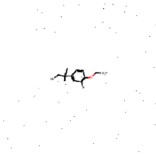 CC(C)c1cc(C(C)(C)CC(C)(C)C)ccc1OCC(=O)O